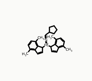 Cc1ccc(C)c2c1C=C[CH]2[Hf](=[Si]=CC1CCCC1)[CH]1C=Cc2c(C)ccc(C)c21